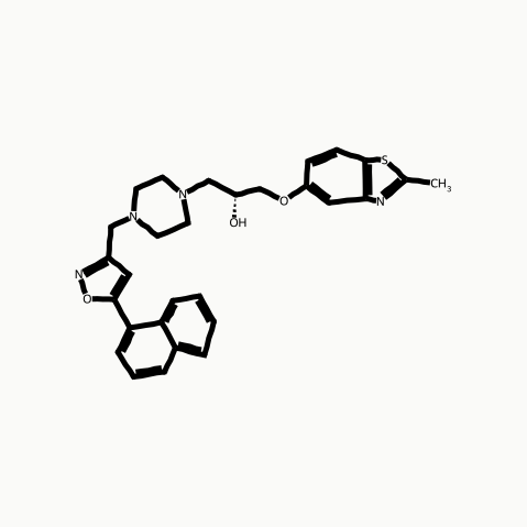 Cc1nc2cc(OC[C@H](O)CN3CCN(Cc4cc(-c5cccc6ccccc56)on4)CC3)ccc2s1